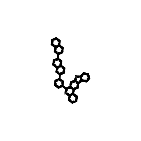 c1cc(-c2ccc3cc(-c4ccc5ccccc5c4)ccc3c2)cc(-c2nc3ccccc3c3cc4c(cc23)sc2ccccc24)c1